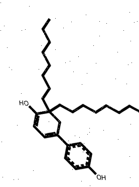 CCCCCCCCC1(CCCCCCCC)CC(c2ccc(O)cc2)=CC=C1O